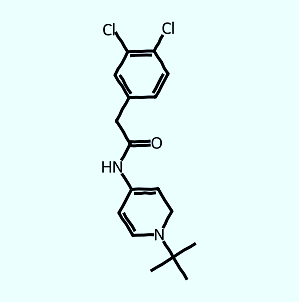 CC(C)(C)N1C=CC(NC(=O)Cc2ccc(Cl)c(Cl)c2)=CC1